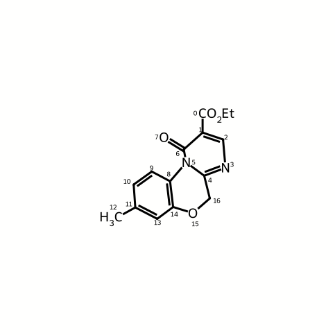 CCOC(=O)c1cnc2n(c1=O)-c1ccc(C)cc1OC2